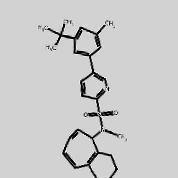 Cc1cc(-c2ccc(S(=O)(=O)N(C)C3C=CC=CC4=C3CCCC4)nc2)cc(C(C)(C)C)c1